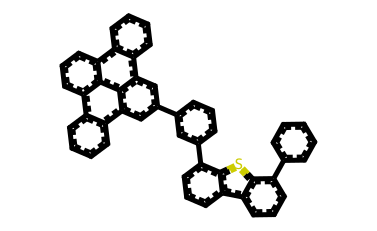 c1ccc(-c2cccc3c2sc2c(-c4cccc(-c5cc6c7ccccc7c7cccc8c9ccccc9c(c5)c6c78)c4)cccc23)cc1